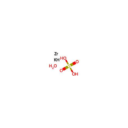 O.O=S(=O)(O)O.[KH].[Zr]